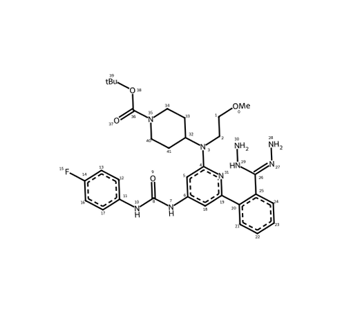 COCCN(c1cc(NC(=O)Nc2ccc(F)cc2)cc(-c2ccccc2/C(=N/N)NN)n1)C1CCN(C(=O)OC(C)(C)C)CC1